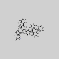 C=C/C=C\c1c(C)sc2cc3c4c(cc(C5=CCCC(c6c7ccccc7c(-c7ccccc7)c7ccccc67)=C5)c3cc12)-c1ccccc1C4(C)C